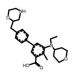 CCN(c1cc(-c2ccc(CC3CNCCO3)cc2)cc(C(=O)O)c1C)C1CCOCC1